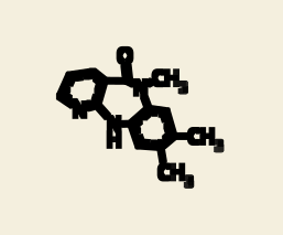 Cc1cc2c(cc1C)N(C)C(=O)c1cccnc1N2